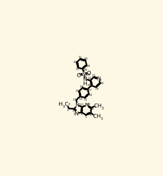 CCc1nc2cc(C)c(C)nc2n1Cc1ccc(-c2ccncc2NS(=O)(=O)c2ccccc2)cc1